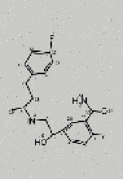 Cc1ccc(C(O)CNC(C)CCc2ccc(F)cc2)cc1C(N)=O